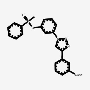 COc1cccc(-c2cn(-c3cccc(OP(C)(=O)c4ccccc4)c3)nn2)c1